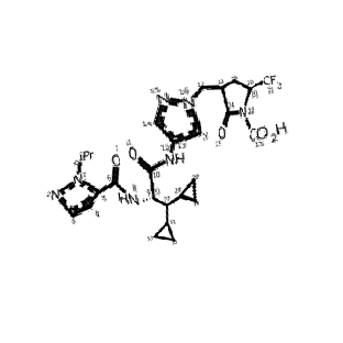 CC(C)n1nccc1C(=O)N[C@H](C(=O)Nc1cnn(CC2C[C@@H](C(F)(F)F)N(C(=O)O)C2=O)c1)C(C1CC1)C1CC1